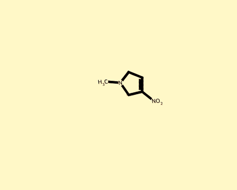 CN1[C]C([N+](=O)[O-])=CC1